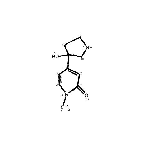 Cn1ccc(C2(O)CCNC2)cc1=O